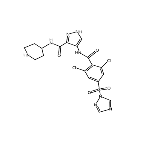 O=C(NC1CCNCC1)c1n[nH]cc1NC(=O)c1c(Cl)cc(S(=O)(=O)n2cncn2)cc1Cl